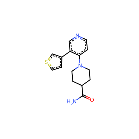 NC(=O)C1CCN(c2ccncc2-c2ccsc2)CC1